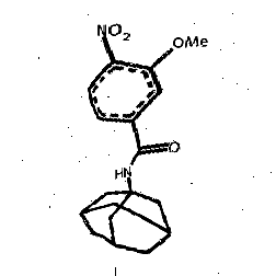 COc1cc(C(=O)NC23CC4CC(CC(C4)C2)C3)ccc1[N+](=O)[O-]